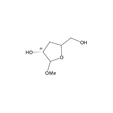 COC1OC(CO)C[C@H]1O